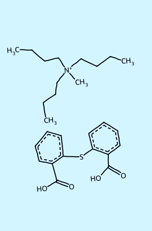 CCCC[N+](C)(CCCC)CCCC.O=C(O)c1ccccc1Sc1ccccc1C(=O)O